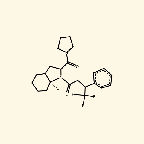 O=C(C1CC2CCCC[C@@H]2N1C(=O)CC(c1ccccc1)C(F)(F)F)N1CCCC1